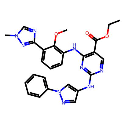 CCOC(=O)c1cnc(Nc2cnn(-c3ccccc3)c2)nc1Nc1cccc(-c2ncn(C)n2)c1OC